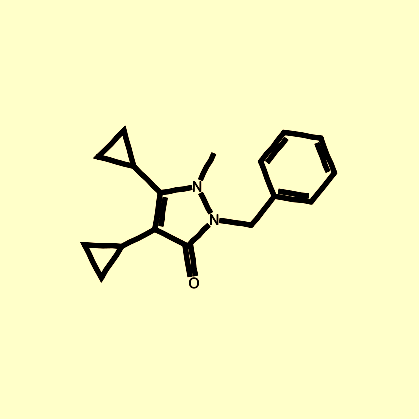 Cn1c(C2CC2)c(C2CC2)c(=O)n1Cc1ccccc1